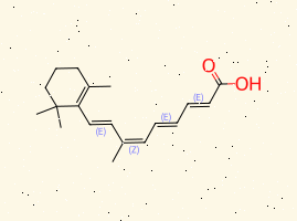 CC1=C(/C=C/C(C)=C\C=C\C=C\C(=O)O)C(C)(C)CCC1